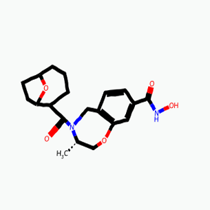 C[C@H]1COc2cc(C(=O)NO)ccc2CN1C(=O)C1CCCC2CCC1O2